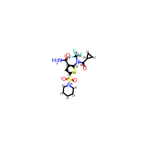 NC(=O)c1cc(S(=O)(=O)N2CCCCC2)sc1N(C(=O)C1CC1)C(F)(F)F